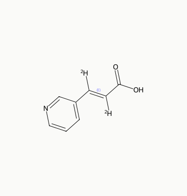 [2H]/C(C(=O)O)=C(/[2H])c1cccnc1